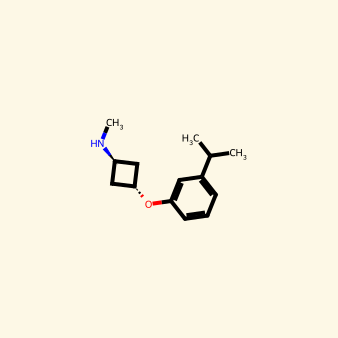 CN[C@H]1C[C@H](Oc2cccc(C(C)C)c2)C1